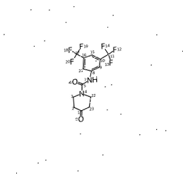 O=C1CCN(C(=O)Nc2cc(C(F)(F)F)cc(C(F)(F)F)c2)CC1